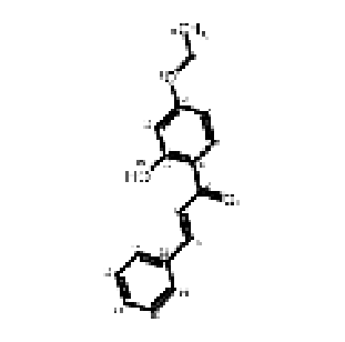 CCOc1ccc(C(=O)C=Cc2ccccc2)c(O)c1